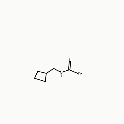 CC(C)C(=O)NCC1CCC1